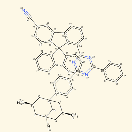 C[C@@H]1C[C@@H]2C[C@H](C)CC(c3ccc(-c4nc(-c5ccccc5)nc(-c5cccc6c5C(c5ccccc5)(c5ccccc5)c5ccc(C#N)cc5-6)n4)cc3)(C1)C2